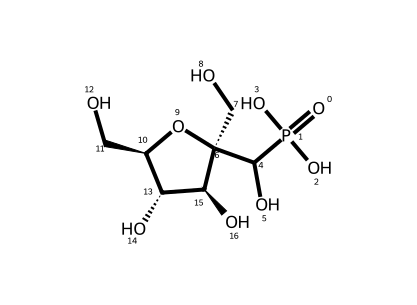 O=P(O)(O)C(O)[C@]1(CO)O[C@H](CO)[C@@H](O)[C@@H]1O